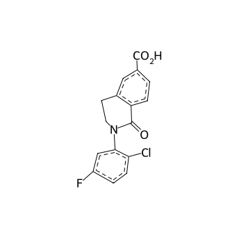 O=C(O)c1ccc2c(c1)CCN(c1cc(F)ccc1Cl)C2=O